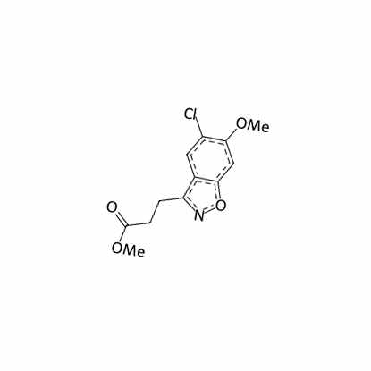 COC(=O)CCc1noc2cc(OC)c(Cl)cc12